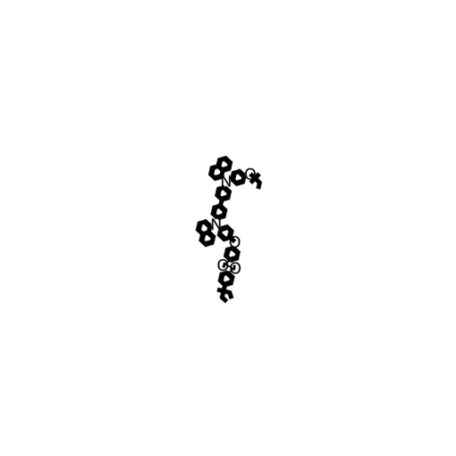 CCC(C)(C)Oc1ccc(N(c2ccc(-c3ccc(N(c4ccc(Oc5ccc(S(=O)(=O)c6ccc(C(C)(CC)CC)cc6)cc5)cc4)c4cccc5ccccc45)cc3)cc2)c2cccc3ccccc23)cc1